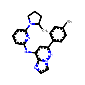 CC1CCCN1c1cccc(Nc2cc(-c3ccc(C(C)(C)C)cc3)nn3ccnc23)n1